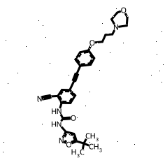 CC(C)(C)c1cc(NC(=O)Nc2ccc(C#Cc3ccc(OCCCN4CCOCC4)cc3)cc2C#N)no1